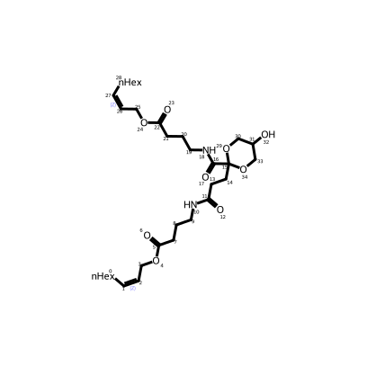 CCCCCC/C=C\COC(=O)CCCNC(=O)CCC1(C(=O)NCCCC(=O)OC/C=C\CCCCCC)OCC(O)CO1